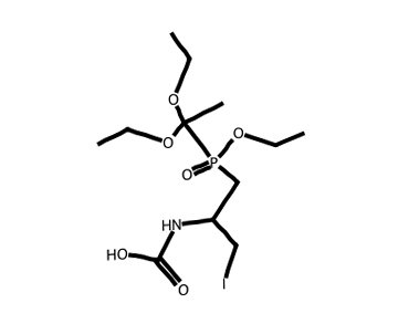 CCOC(C)(OCC)P(=O)(CC(CI)NC(=O)O)OCC